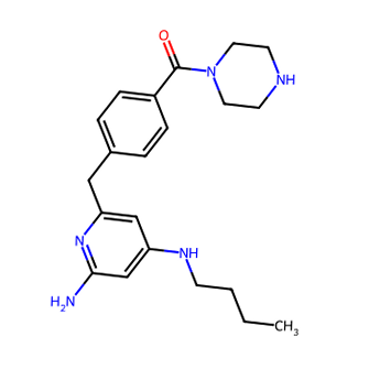 CCCCNc1cc(N)nc(Cc2ccc(C(=O)N3CCNCC3)cc2)c1